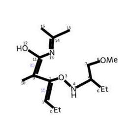 CC/C=C(ONC(CC)COC)/C(C)=C(/O)N=C(C)C